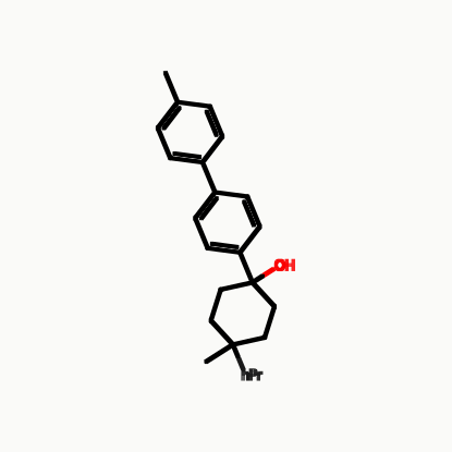 CCCC1(C)CCC(O)(c2ccc(-c3ccc(C)cc3)cc2)CC1